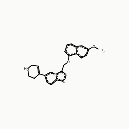 COc1ccc2c(OCc3nnc4ccc(C5=CCNCC5)cn34)cccc2c1